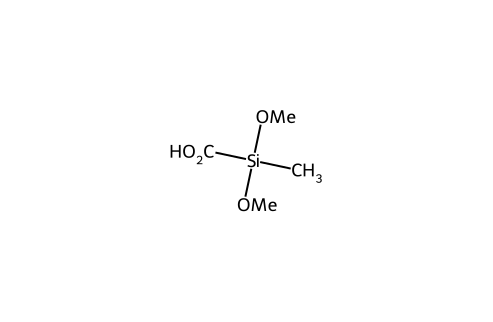 CO[Si](C)(OC)C(=O)O